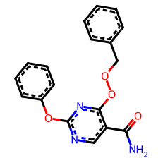 NC(=O)c1cnc(Oc2ccccc2)nc1OOCc1ccccc1